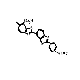 CC(=O)Nc1ccc(-c2nc3ccc(-c4nc5ccc(C)c(S(=O)(=O)O)c5s4)cc3s2)cc1